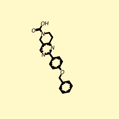 O=C(O)N1CCc2nc(-c3ccc(OCc4ccccc4)cc3)ncc2C1